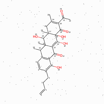 C=CCCc1ccc2c(c1O)C(=O)C1=C(O)C3(O)C(=O)C(C(C)=O)=C(C)CC3(C)C(O)C1(C)C2C